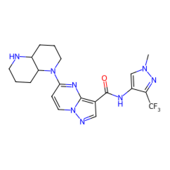 Cn1cc(NC(=O)c2cnn3ccc(N4CCCC5NCCCC54)nc23)c(C(F)(F)F)n1